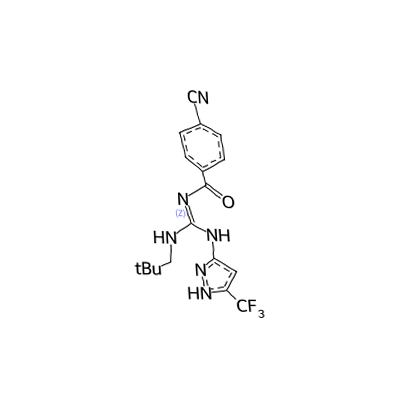 CC(C)(C)CN/C(=N/C(=O)c1ccc(C#N)cc1)Nc1cc(C(F)(F)F)[nH]n1